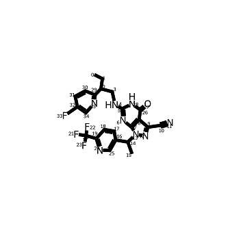 CCC(CNc1nc2c(c(C#N)nn2C(C)c2ccc(C(F)(F)F)nc2)c(=O)[nH]1)c1ccc(F)cn1